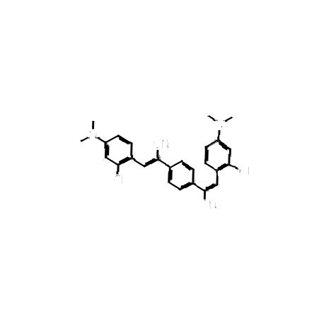 CN(C)c1ccc(C=C(C#N)c2ccc(C(C#N)=Cc3ccc(N(C)C)cc3Cl)cc2)c(Cl)c1